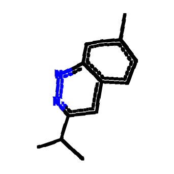 Cc1ccc2cc(C(C)C)nnc2c1